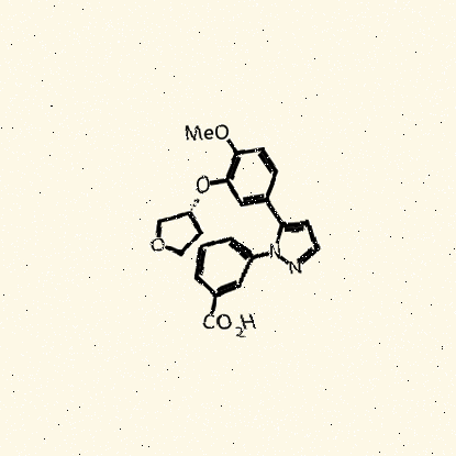 COc1ccc(-c2ccnn2-c2cccc(C(=O)O)c2)cc1O[C@@H]1CCOC1